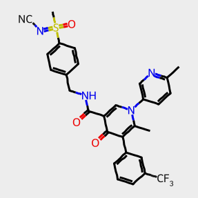 Cc1ccc(-n2cc(C(=O)NCc3ccc(S(C)(=O)=NC#N)cc3)c(=O)c(-c3cccc(C(F)(F)F)c3)c2C)cn1